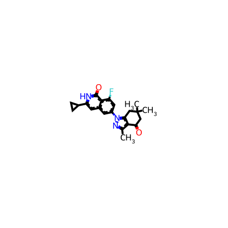 Cc1nn(-c2cc(F)c3c(=O)[nH]c(C4CC4)cc3c2)c2c1C(=O)CC(C)(C)C2